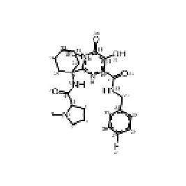 CN1CCCC1C(=O)NC12CCC(CC1)Cn1c2nc(C(=O)NCc2ccc(F)cc2)c(O)c1=O